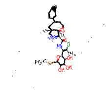 CSC1O[C@H]([C@H](NC(=O)[C@H]2NC[C@@H]3CC(c4ccccc4)=CCO[C@H]32)[C@H](C)Cl)C(O)C(O)[C@H]1O